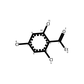 CCC(=O)c1c(Cl)cc(Cl)cc1Cl